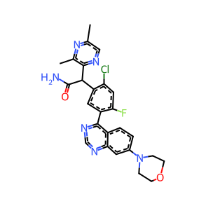 Cc1cnc(C(C(N)=O)c2cc(-c3ncnc4cc(N5CCOCC5)ccc34)c(F)cc2Cl)c(C)n1